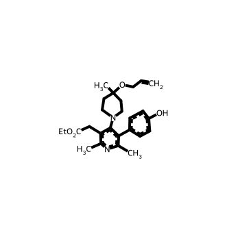 C=CCOC1(C)CCN(c2c(CC(=O)OCC)c(C)nc(C)c2-c2ccc(O)cc2)CC1